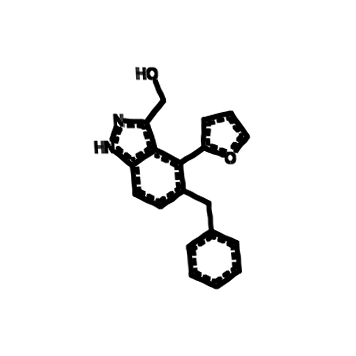 OCc1n[nH]c2ccc(Cc3ccccc3)c(-c3ccco3)c12